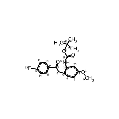 COc1ccc(CC(=O)c2ccc(F)cc2)c(NC(=O)OC(C)(C)C)c1